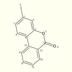 O=c1oc2cc(I)ccc2c2ccccc12